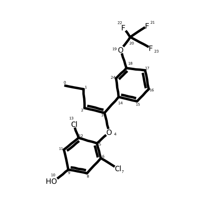 CCC=C(Oc1c(Cl)cc(O)cc1Cl)c1cccc(OC(F)(F)F)c1